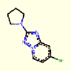 Brc1ccn2nc(N3CCCC3)nc2c1